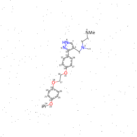 CNCCN(C)Cc1c[nH]nc1-c1ccc(OCCOc2ccc(OC(C)C)cc2)cc1